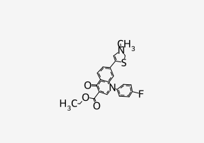 CCOC(=O)c1cn(-c2ccc(F)cc2)c2cc(C3=CN(C)CS3)ccc2c1=O